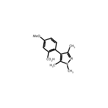 COc1ccc(-c2c(C)nn(C)c2C)c(C(=O)O)c1